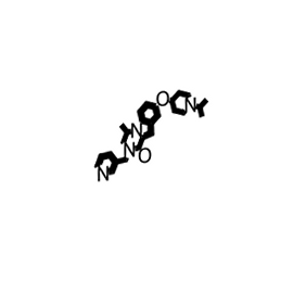 CC(C)N1CCC(Oc2ccc3c(c2)cc2n3C(C)CN(Cc3cccnc3)C2=O)CC1